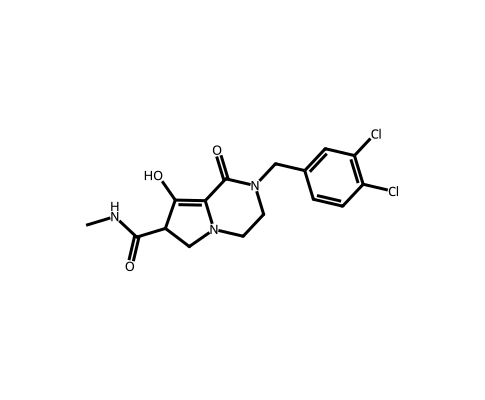 CNC(=O)C1CN2CCN(Cc3ccc(Cl)c(Cl)c3)C(=O)C2=C1O